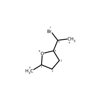 CC1CCC(C(C)Br)O1